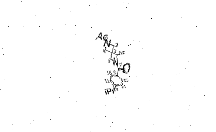 CC(=O)N1CC2(C1)CN(C(=O)c1ccc(C(C)C)cc1)C2